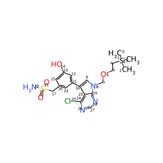 C[Si](C)(C)CCOCn1cc(-c2cc(O)cc(CS(N)(=O)=O)c2)c2c(Cl)ncnc21